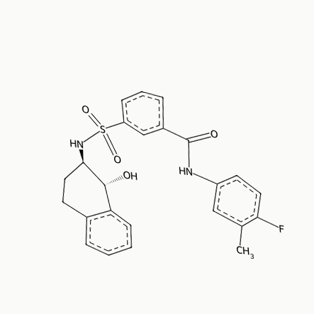 Cc1cc(NC(=O)c2cccc(S(=O)(=O)N[C@@H]3CCc4ccccc4[C@H]3O)c2)ccc1F